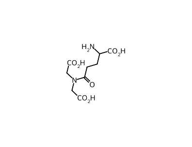 NC(CCC(=O)N(CC(=O)O)CC(=O)O)C(=O)O